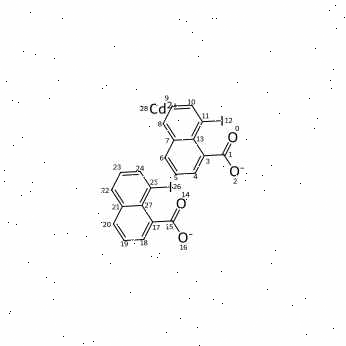 O=C([O-])c1cccc2cccc(I)c12.O=C([O-])c1cccc2cccc(I)c12.[Cd+2]